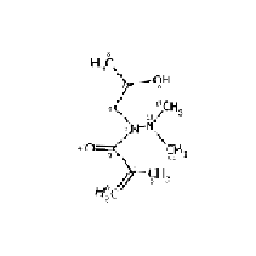 C=C(C)C(=O)N(CC(C)O)N(C)C